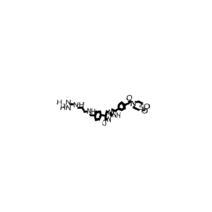 N=C(N)NCCCNCc1ccc(-c2cn3cc(-c4ccc(C(=O)N5CCS(=O)(=O)CC5)cc4)[nH]c3nc2=O)cc1